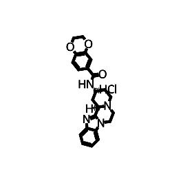 Cl.O=C(N[C@@H]1CCN2CCn3c(nc4ccccc43)[C@H]2C1)c1ccc2c(c1)OCCO2